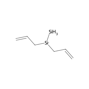 C=CC[Si]([SiH3])CC=C